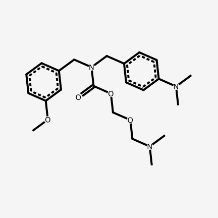 COc1cccc(CN(Cc2ccc(N(C)C)cc2)C(=O)OCOCN(C)C)c1